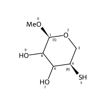 CO[C@H]1OC[C@@H](S)C(O)C1O